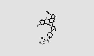 C[C@H](O)C(=O)N1CCC(n2cc(-c3cc(Sc4ccc(F)cc4C#N)c4c(C#N)cnn4c3)cn2)CC1